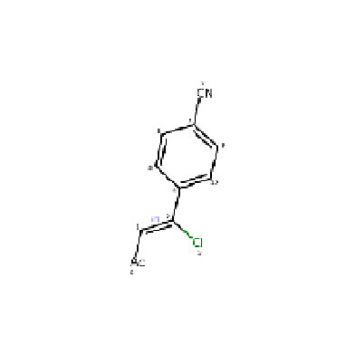 CC(=O)/C=C(\Cl)c1ccc(C#N)cc1